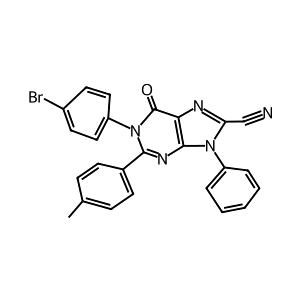 Cc1ccc(-c2nc3c(nc(C#N)n3-c3ccccc3)c(=O)n2-c2ccc(Br)cc2)cc1